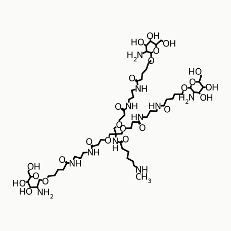 CNCCCCCC(=O)NC(COCCC(=O)NCCCNC(=O)CCCCOC1OC(CO)C(O)C(O)C1N)(COCCC(=O)NCCCNC(=O)CCCCOC1OC(CO)C(O)C(O)C1N)COCCC(=O)NCCCNC(=O)CCCCOC1OC(CO)C(O)C(O)C1N